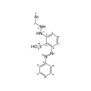 CC(=O)CNNc1cccc(N=Nc2ccccc2)c1S(=O)(=O)O